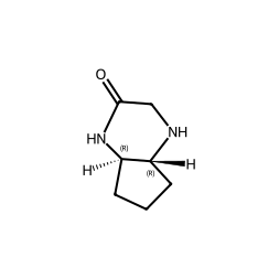 O=C1CN[C@@H]2CCC[C@H]2N1